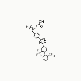 Cc1ccccc1-c1ccc(-c2nc(-c3ccc(CN(C)CCC(=O)O)cc3)no2)cc1C(F)(F)F